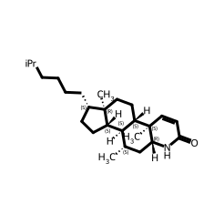 CC(C)CCCC[C@H]1CC[C@H]2[C@@H]3[C@@H](C)C[C@H]4NC(=O)C=C[C@]4(C)[C@H]3CC[C@]12C